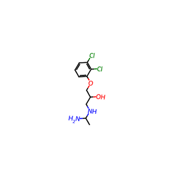 CC(N)NCC(O)COc1cccc(Cl)c1Cl